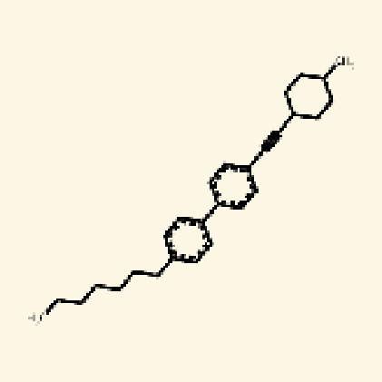 CCCCCCCc1ccc(-c2ccc(C#CC3CCC(C)CC3)cc2)cc1